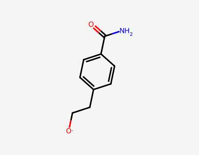 NC(=O)c1ccc(CC[O])cc1